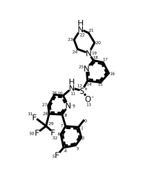 Cc1ccc(F)cc1-c1nc(N[S+]([O-])c2cccc(N3CCNCC3)n2)ccc1C(F)(F)F